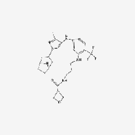 Cc1nn(C2CC3CCC(C2)N3C)cc1Nc1cc(NCCCNC(=O)C2COC2)c(C(F)(F)F)cn1